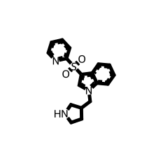 O=S(=O)(c1ccccn1)c1cn(CC2CCNC2)c2ccccc12